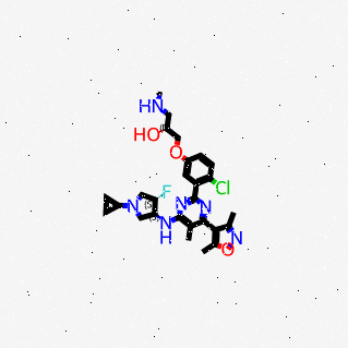 CNC[C@@H](O)COc1ccc(Cl)c(-c2nc(N[C@H]3CN(C4CC4)C[C@@H]3F)c(C)c(-c3c(C)noc3C)n2)c1